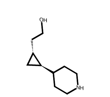 OCC[C@H]1C[C@@H]1C1CCNCC1